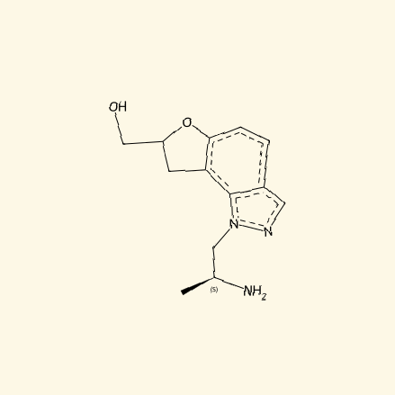 C[C@H](N)Cn1ncc2ccc3c(c21)CC(CO)O3